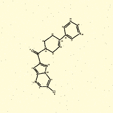 O=C(c1cc2ncc(Cl)cn2n1)N1CC=C(c2cncnc2)CC1